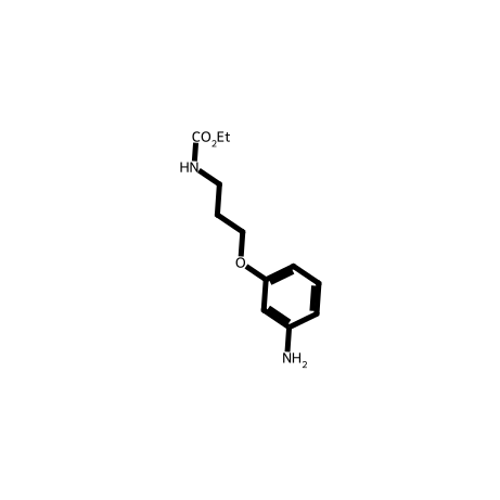 CCOC(=O)NCCCOc1cccc(N)c1